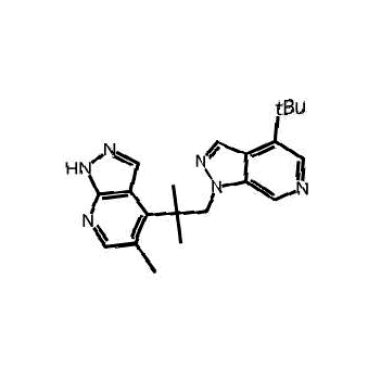 Cc1cnc2[nH]ncc2c1C(C)(C)Cn1ncc2c(C(C)(C)C)cncc21